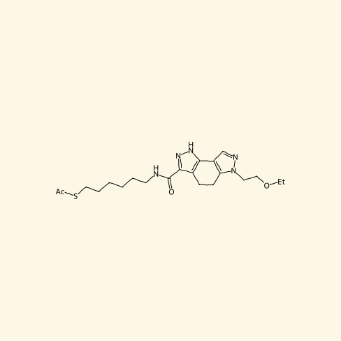 CCOCCn1ncc2c1CCc1c(C(=O)NCCCCCCSC(C)=O)n[nH]c1-2